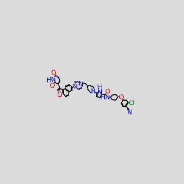 N#Cc1ccc(O[C@H]2CC[C@H](NC(=O)c3ccc(N4CCC(CN5CCN(c6ccc7c(ccc8occ(C9CCC(=O)NC9=O)c87)c6)CC5)CC4)[nH]3)CC2)cc1Cl